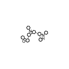 c1ccc(Nc2ccc(-c3ccc4c(c3)c3cc(-c5cccc6oc7ccccc7c56)ccc3n4-c3ccccc3)cc2-c2ccccc2)cc1